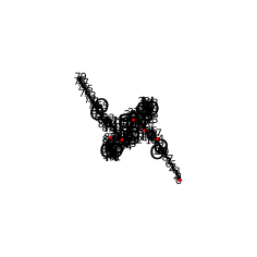 C=CCCCCCCCCC(=O)OCCC1CCN(CCCN2c3cccc(S(=O)(=O)N(C)C)c3Sc3ccc(OC)c(OC(=O)C(=O)Oc4c(OC)ccc5c4N(CCCN4CCC(CCOC(=O)CCCCCCCCC=C)CC4)c4cccc(S(=O)(=O)N(C)C)c4S5)c32)CC1